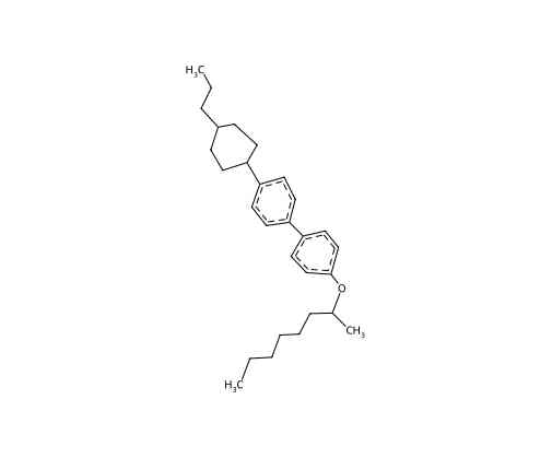 CCCCCCC(C)Oc1ccc(-c2ccc(C3CCC(CCC)CC3)cc2)cc1